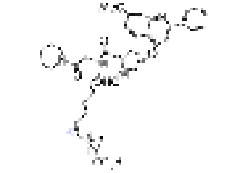 COc1ccc2c(O[C@@H]3C[C@@H](C=O)N(C(=O)[C@H](CCCCC/C=C\[C@@H]4C[C@@H]4C(=O)O)CC(=O)N4CCCCC4)C3)cc(-c3ccccc3)nc2c1